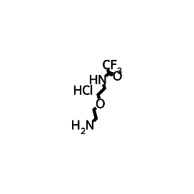 Cl.NCCOCCNC(=O)C(F)(F)F